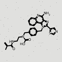 C=C(C)C(=O)NCCN(Cc1ccc(Cn2c(-c3cncs3)nc3c(N)nc4ccccc4c32)cc1)C(=O)O